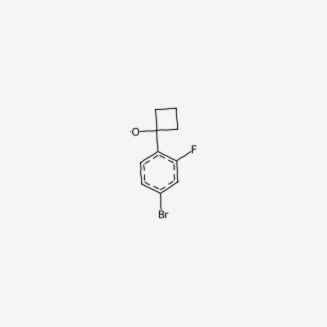 [O]C1(c2ccc(Br)cc2F)CCC1